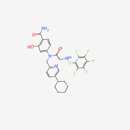 NC(=O)c1ccc(N(Cc2ccc(C3CCCCC3)cn2)C(=O)CNSc2c(F)c(F)c(F)c(F)c2F)cc1O